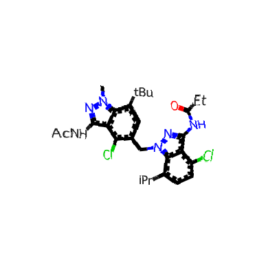 CCC(=O)Nc1nn(Cc2cc(C(C)(C)C)c3c(c(NC(C)=O)nn3C)c2Cl)c2c(C(C)C)ccc(Cl)c12